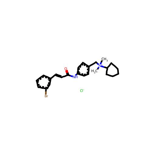 C[N+](C)(Cc1ccc(NC(=O)C=Cc2cccc(Br)c2)cc1)C1CCCCC1.[Cl-]